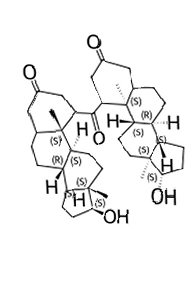 C[C@]12C(CC[C@@H]3[C@@H]1CC[C@]1(C)[C@@H](O)CC[C@@H]31)CC(=O)CC2C(=O)C1CC(=O)CC2CC[C@@H]3[C@H](CC[C@]4(C)[C@@H](O)CC[C@@H]34)[C@]21C